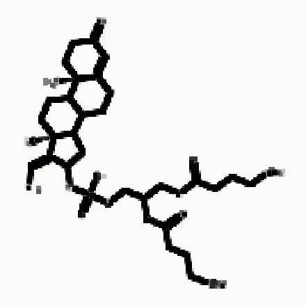 CC=C1C(OP(=O)(O)OCC(COC(=O)CCCCCCCCCCCCC)OC(=O)CCCCCCCCCCCCC)CC2C3CCC4=CC(=O)CC[C@]4(C)C3CC[C@]12C